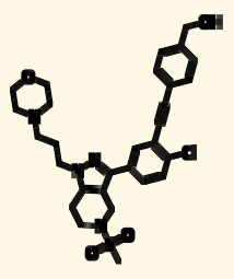 CS(=O)(=O)N1CCc2c(c(-c3ccc(Cl)c(C#Cc4ccc(CO)cc4)c3)nn2CCCN2CCOCC2)C1